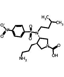 CC(C)CCN([C@@H]1CN(C(=O)O)C[C@H]1CCCN)S(=O)(=O)c1ccc([N+](=O)[O-])cc1